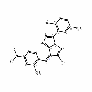 CCN(CC)c1ccc(/N=C2/C(C(C)(C)C)=Nn3c2nnc3-c2cc([N+](=O)[O-])ccc2O)c(C)c1